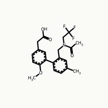 COc1ccc(CC(=O)O)cc1-c1ccc(C)cc1CN(CC(F)(F)F)C(C)=O